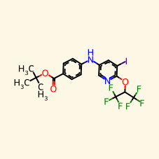 CC(C)(C)OC(=O)c1ccc(Nc2cnc(OC(C(F)(F)F)C(F)(F)F)c(I)c2)cc1